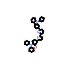 c1ccc(N2c3ccccc3Oc3cc(-c4ccc5sc6ccc(-c7ccc8c9ccccc9n(-c9ccccc9)c8c7)nc6c5n4)ccc32)cc1